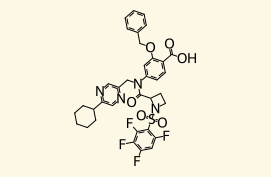 O=C(O)c1ccc(N(Cc2cnc(C3CCCCC3)cn2)C(=O)C2CCN2S(=O)(=O)c2c(F)cc(F)c(F)c2F)cc1OCc1ccccc1